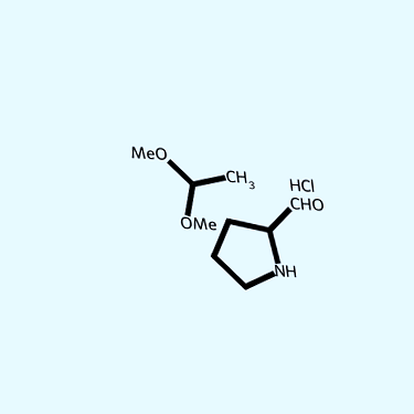 COC(C)OC.Cl.O=CC1CCCN1